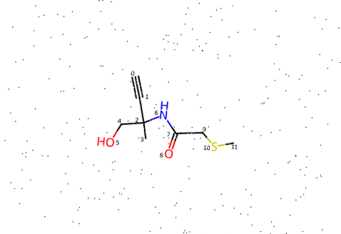 C#CC(C)(CO)NC(=O)CSC